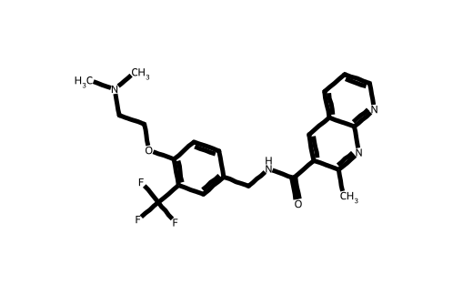 Cc1nc2ncccc2cc1C(=O)NCc1ccc(OCCN(C)C)c(C(F)(F)F)c1